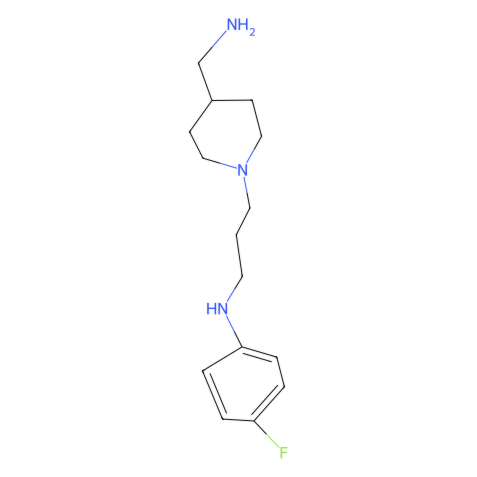 NCC1CCN(CCCNc2ccc(F)cc2)CC1